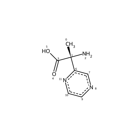 C[C@](N)(C(=O)O)c1cnccn1